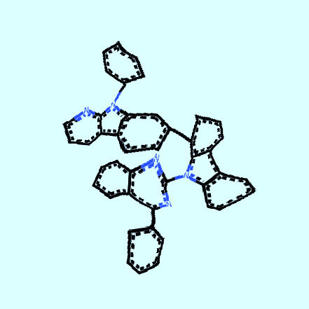 c1ccc(-c2nc(-n3c4ccccc4c4cccc(-c5ccc6c7cccnc7n(-c7ccccc7)c6c5)c43)nc3ccccc23)cc1